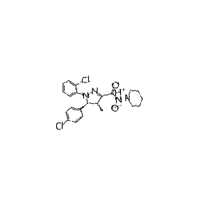 C[C@@H]1C(C(=O)[NH+]([O-])N2CCCCC2)=NN(c2ccccc2Cl)[C@@H]1c1ccc(Cl)cc1